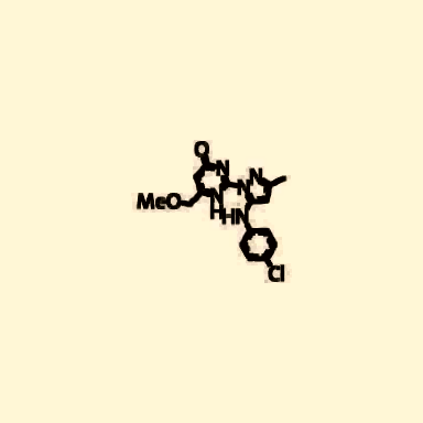 COCc1cc(=O)nc(-n2nc(C)cc2Nc2ccc(Cl)cc2)[nH]1